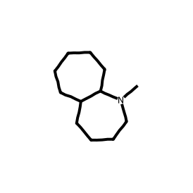 CN1CCCCC2CCCCCC21